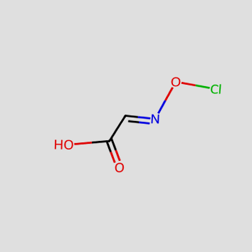 O=C(O)/C=N/OCl